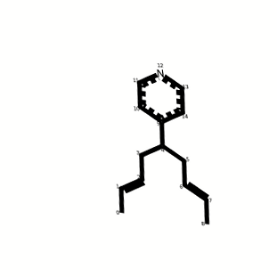 C/C=C/CC(C/C=C/C)c1ccncc1